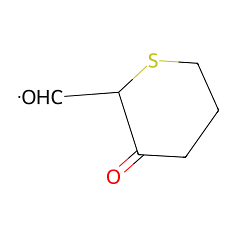 O=[C]C1SCCCC1=O